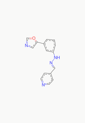 C(=NNc1cccc(-c2cnco2)c1)c1ccncc1